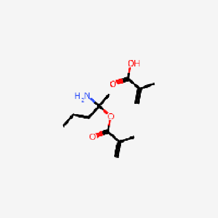 C=C(C)C(=O)O.C=C(C)C(=O)OC(C)(N)CCC